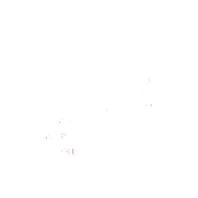 O=c1oc2ccccc2cc1CSCCCP(=O)(O)O